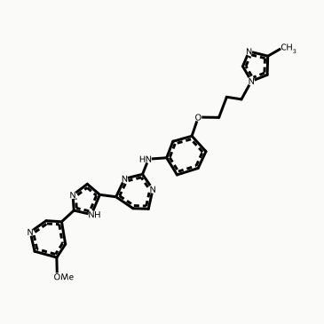 COc1cncc(-c2ncc(-c3ccnc(Nc4cccc(OCCCn5cnc(C)c5)c4)n3)[nH]2)c1